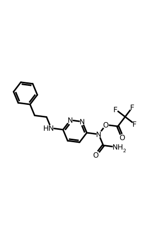 NC(=O)N(OC(=O)C(F)(F)F)c1ccc(NCCc2ccccc2)nn1